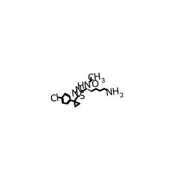 CC(=O)N[C@@H](CCCCN)c1nnc(C2(c3ccc(Cl)cc3)CC2)s1